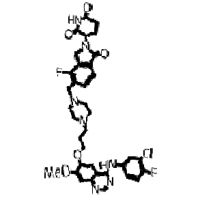 COc1cc2ncnc(Nc3ccc(F)c(Cl)c3)c2cc1OCCCN1CCN(Cc2ccc3c(c2F)CN(C2CCC(=O)NC2=O)C3=O)CC1